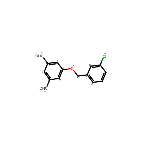 O=Cc1cc(C=O)cc(OCc2cccc(Cl)c2)c1